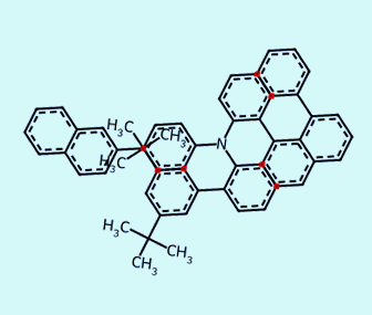 CC(C)(C)c1cc(-c2ccccc2N(c2ccc(-c3ccc4ccccc4c3)cc2)c2ccccc2-c2cccc3cccc(-c4ccccc4)c23)cc(C(C)(C)C)c1